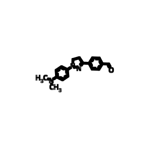 CN(C)c1ccc(N2CCC(c3ccc(C=O)cc3)=N2)cc1